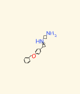 NC1CC(N[C@H]2CC2c2ccc(OCc3ccccc3)cc2)C1